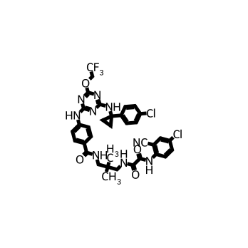 CC(C)(CNC(=O)C(=O)Nc1ccc(Cl)cc1C#N)CNC(=O)c1ccc(Nc2nc(NC3(c4ccc(Cl)cc4)CC3)nc(OCC(F)(F)F)n2)cc1